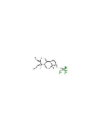 CCCC1(C)C(CC)CCC2C1CCC1(C)C2CC[C@@H]1CCC(F)(F)F